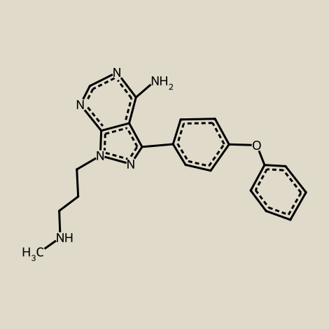 CNCCCn1nc(-c2ccc(Oc3ccccc3)cc2)c2c(N)ncnc21